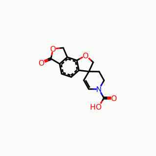 O=C1OCc2c1ccc1c2OCC12C=CN(C(=O)O)CC2